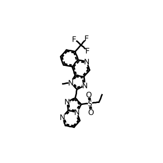 CCS(=O)(=O)c1c(-c2nc3cnc4c(C(F)(F)F)cccc4c3n2C)nc2ncccn12